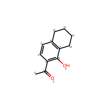 CC(=O)c1ccc2c(c1O)CCCC2